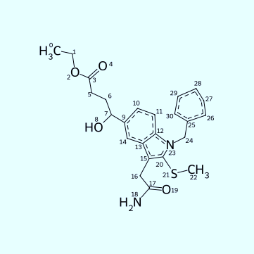 CCOC(=O)CCC(O)c1ccc2c(c1)c(CC(N)=O)c(SC)n2Cc1ccccc1